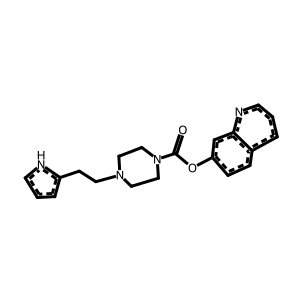 O=C(Oc1ccc2cccnc2c1)N1CCN(CCc2ccc[nH]2)CC1